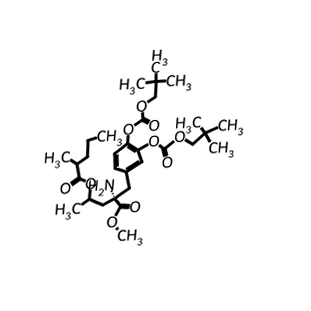 CCCC(C)C(=O)OC(C)C[C@@](N)(Cc1ccc(OC(=O)OCC(C)(C)C)c(OC(=O)OCC(C)(C)C)c1)C(=O)OC